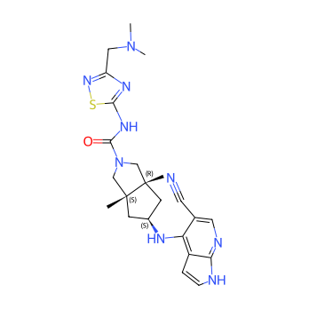 CN(C)Cc1nsc(NC(=O)N2C[C@]3(C)C[C@@H](Nc4c(C#N)cnc5[nH]ccc45)C[C@]3(C)C2)n1